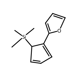 C[Si](C)(C)C1C=CC=C1c1ccco1